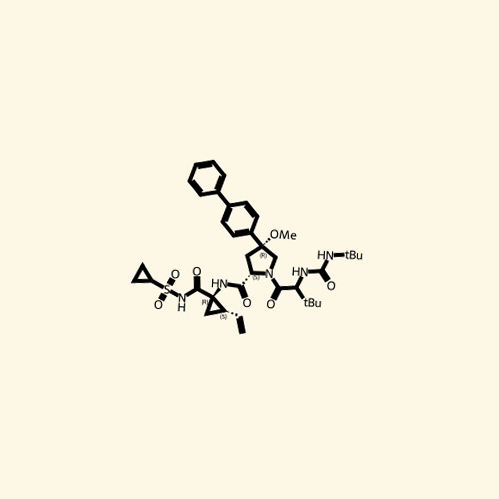 C=C[C@@H]1C[C@]1(NC(=O)[C@@H]1C[C@@](OC)(c2ccc(-c3ccccc3)cc2)CN1C(=O)C(NC(=O)NC(C)(C)C)C(C)(C)C)C(=O)NS(=O)(=O)C1CC1